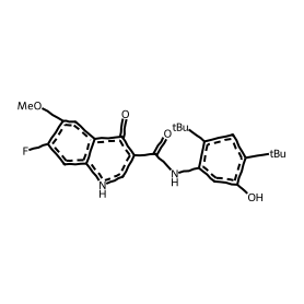 COc1cc2c(=O)c(C(=O)Nc3cc(O)c(C(C)(C)C)cc3C(C)(C)C)c[nH]c2cc1F